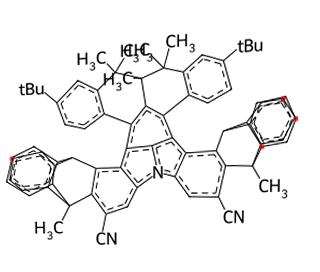 CC(C)(C)c1ccc2c(c1)C(C)(C)C1(C)c3c-2c2c4c5c(c(C#N)cc4n4c6cc(C#N)c7c(c6c(c3-c3ccc(C(C)(C)C)cc3C1(C)C)c24)C1c2ccccc2C7(C)c2ccccc21)C1(C)c2ccccc2C5c2ccccc21